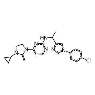 C=C1N(c2ccnc(NC(C)c3cn(-c4ccc(Cl)cc4)cn3)n2)CCN1C1CC1